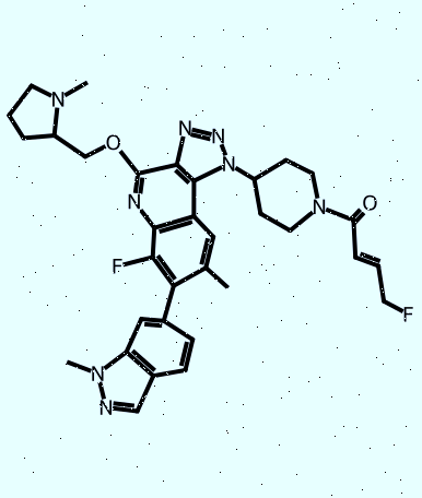 Cc1cc2c(nc(OCC3CCCN3C)c3nnn(C4CCN(C(=O)/C=C/CF)CC4)c32)c(F)c1-c1ccc2cnn(C)c2c1